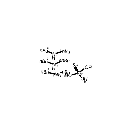 CCCCNCCCC.CCCCNCCCC.CCCCNCCCC.OP(O)(O)=S